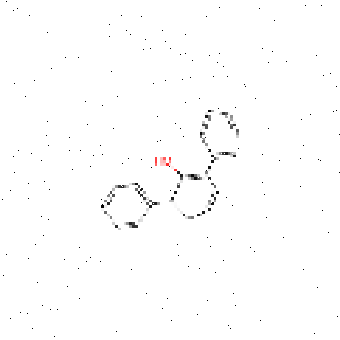 OC1=C(c2ccccc2)C=CCC1c1ccccc1